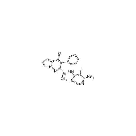 C[C@H](Nc1ncnc(N)c1I)c1nn2cccc2c(=O)n1-c1ccccc1